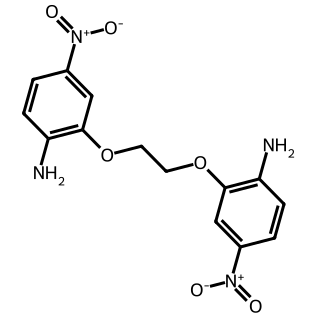 Nc1ccc([N+](=O)[O-])cc1OCCOc1cc([N+](=O)[O-])ccc1N